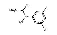 CCOC(=O)C(C)N(N)c1cc(F)cc(Cl)c1